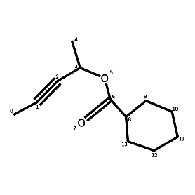 CC#CC(C)OC(=O)C1CCCCC1